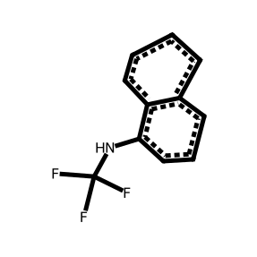 FC(F)(F)Nc1cccc2ccccc12